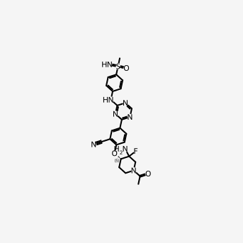 CC(=O)N1CC[C@H](Oc2ccc(-c3ncnc(Nc4ccc(S(C)(=N)=O)cc4)n3)cc2C#N)C(N)(F)C1